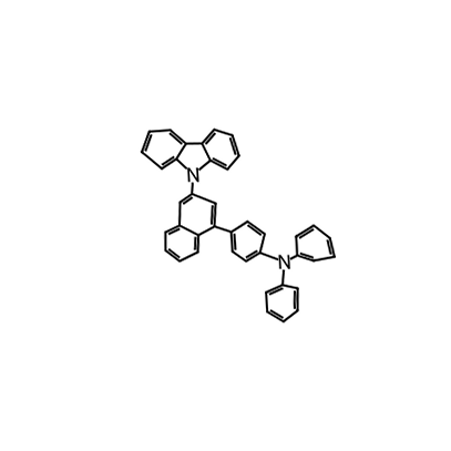 c1ccc(N(c2ccccc2)c2ccc(-c3cc(-n4c5ccccc5c5ccccc54)cc4ccccc34)cc2)cc1